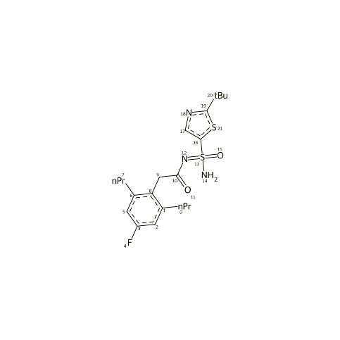 CCCc1cc(F)cc(CCC)c1CC(=O)N=S(N)(=O)c1cnc(C(C)(C)C)s1